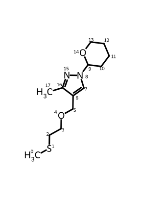 CSCCOCc1cn(C2CCCCO2)nc1C